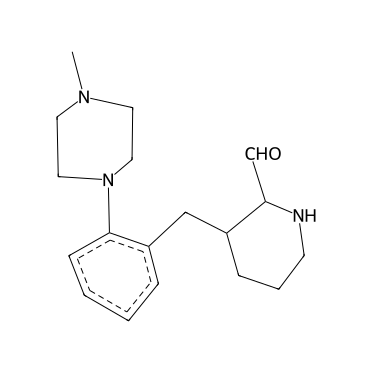 CN1CCN(c2ccccc2CC2CCCNC2C=O)CC1